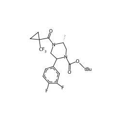 C[C@@H]1CN(C(=O)OC(C)(C)C)C(c2ccc(F)c(F)c2)CN1C(=O)C1(C(F)(F)F)CC1